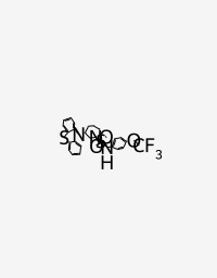 O=S(=O)(Nc1ccc(OC(F)(F)F)cc1)N1CCCC(N2c3ccccc3Sc3ccccc32)C1